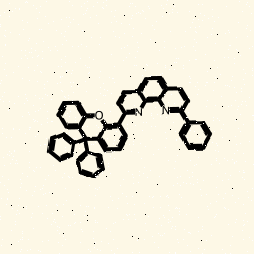 c1ccc(-c2ccc3ccc4ccc(-c5cccc6c5Oc5ccccc5C6(c5ccccc5)c5ccccc5)nc4c3n2)cc1